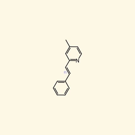 Cc1ccnc(/C=C/c2ccccc2)c1